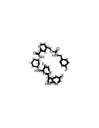 O=C(NCc1ccc(F)cc1)OCc1ccnc(C(=O)N[C@@H]2CCC[C@H](Nc3nc(-c4c[nH]c5ncc(F)cc45)ncc3F)C2)c1